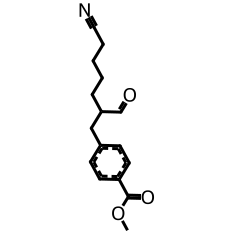 COC(=O)c1ccc(CC(C=O)CCCCC#N)cc1